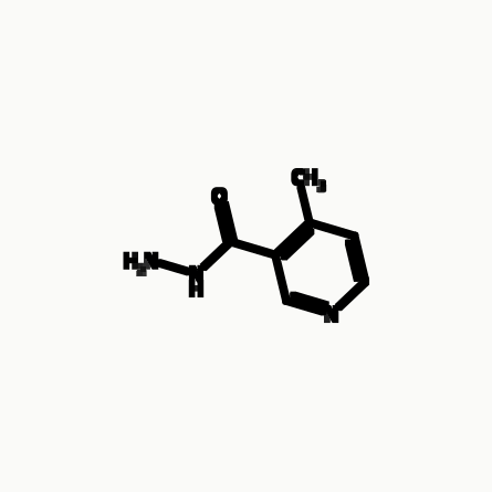 Cc1ccncc1C(=O)NN